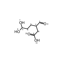 O=CC(CCC(O)O)CC(=O)O